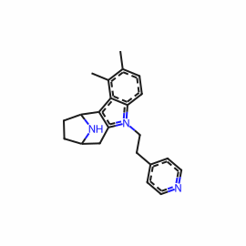 Cc1ccc2c(c1C)c1c(n2CCc2ccncc2)CC2CCC1N2